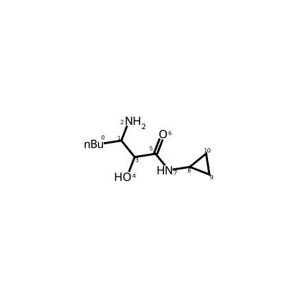 CCCCC(N)C(O)C(=O)NC1CC1